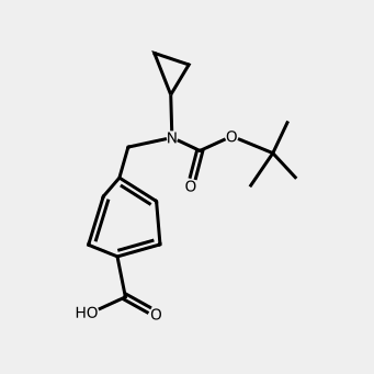 CC(C)(C)OC(=O)N(Cc1ccc(C(=O)O)cc1)C1CC1